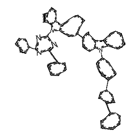 c1ccc(-c2ccc(-c3ccc(-n4c5ccccc5c5cc(-c6ccc7c8ccccc8n(-c8nc(-c9ccccc9)nc(-c9ccccc9)n8)c7c6)ccc54)cc3)cc2)cc1